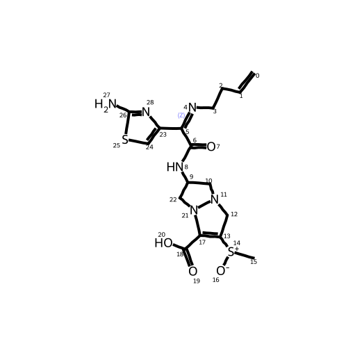 C=CCC/N=C(\C(=O)NC1CN2CC([S+](C)[O-])=C(C(=O)O)N2C1)c1csc(N)n1